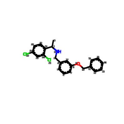 CC(NCc1cccc(OCc2ccccc2)c1)c1ccc(Cl)cc1Cl